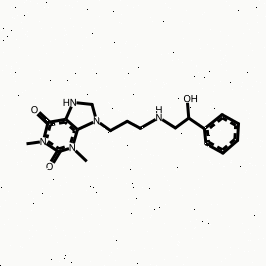 Cn1c2c(c(=O)n(C)c1=O)NCN2CCCNCC(O)c1ccccc1